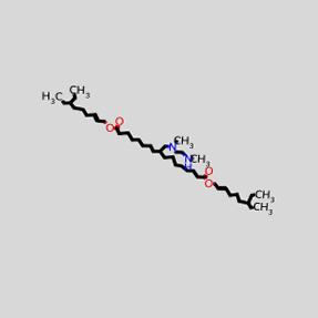 CCC(CC)CCC/C=C/COC(=O)CCCCCCCC(CCCCCCCC(=O)OC/C=C/CCCC(CC)CC)CN(C)CCNC